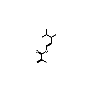 C=C(C)C(=O)OC=CC(C)C(C)C